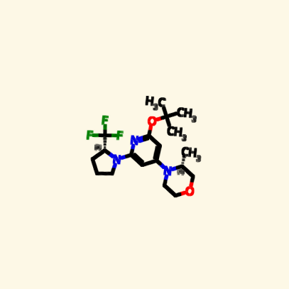 C[C@@H]1COCCN1c1cc(OC(C)(C)C)nc(N2CCC[C@@H]2C(F)(F)F)c1